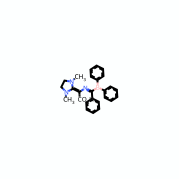 CN1CCN(C)C1=C(N=C(B(c1ccccc1)c1ccccc1)c1ccccc1)C(=O)O